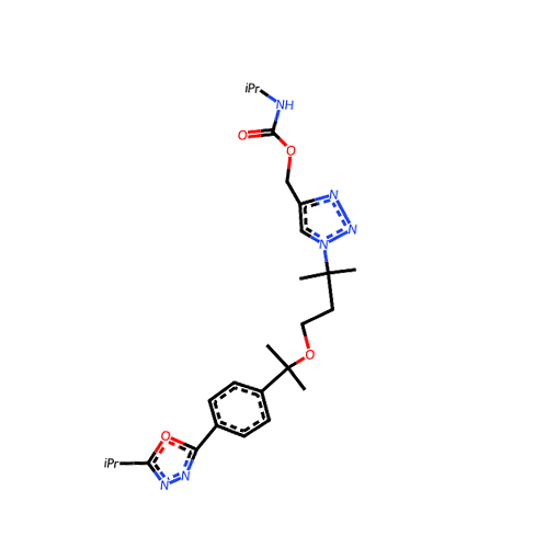 CC(C)NC(=O)OCc1cn(C(C)(C)CCOC(C)(C)c2ccc(-c3nnc(C(C)C)o3)cc2)nn1